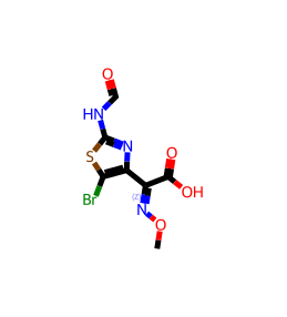 CO/N=C(\C(=O)O)c1nc(NC=O)sc1Br